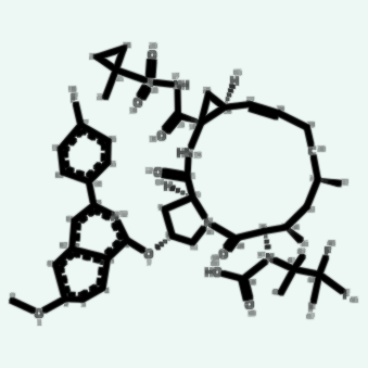 COc1ccc2c(O[C@@H]3C[C@H]4C(=O)N[C@]5(C(=O)NS(=O)(=O)C6(C)CC6)C[C@H]5/C=C\CC[C@@H](C)C[C@@H](C)[C@H](N(C(=O)O)C(C)(C)C(F)(F)F)C(=O)N4C3)nc(-c3ccc(F)cc3)cc2c1